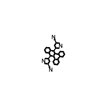 N#Cc1cncc(-c2c3ccccc3c(-c3cncc(C#N)c3)c3c4ccccc4c4ccccc4c23)c1